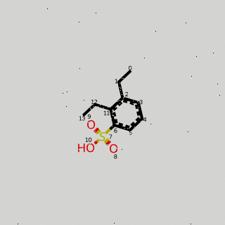 CCc1cccc(S(=O)(=O)O)c1CC